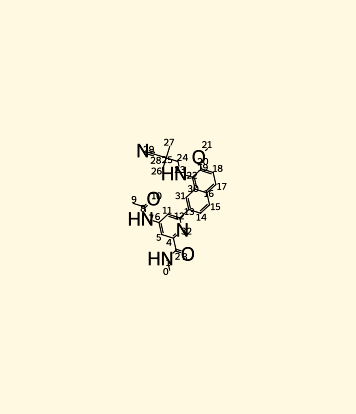 CNC(=O)c1cc(NC(C)=O)cc(-c2ccc3ccc(OC)c(NCC(C)(C)C#N)c3c2)n1